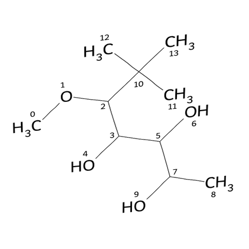 COC(C(O)C(O)C(C)O)C(C)(C)C